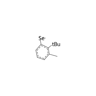 Cc1cccc([Se])c1C(C)(C)C